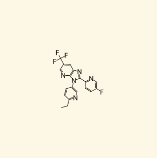 CCc1ccc(-n2c(-c3ccc(F)cn3)nc3cc(C(F)(F)F)cnc32)cn1